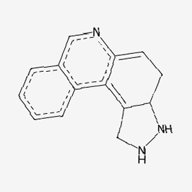 C1=c2ncc3ccccc3c2=C2CNNC2C1